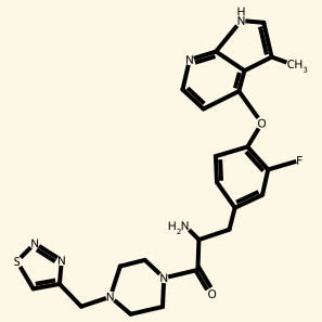 Cc1c[nH]c2nccc(Oc3ccc(CC(N)C(=O)N4CCN(Cc5csnn5)CC4)cc3F)c12